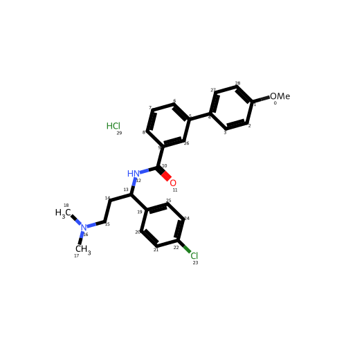 COc1ccc(-c2cccc(C(=O)NC(CCN(C)C)c3ccc(Cl)cc3)c2)cc1.Cl